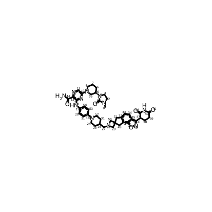 CN1CCN([C@@H]2CCCN(c3cnc(C(N)=O)c(Nc4ccc(N5CCC(CN6CC7(Cc8ccc9c(C%10CCC(=O)NC%10=O)noc9c8C7)C6)CC5)cc4)n3)C2)C1=O